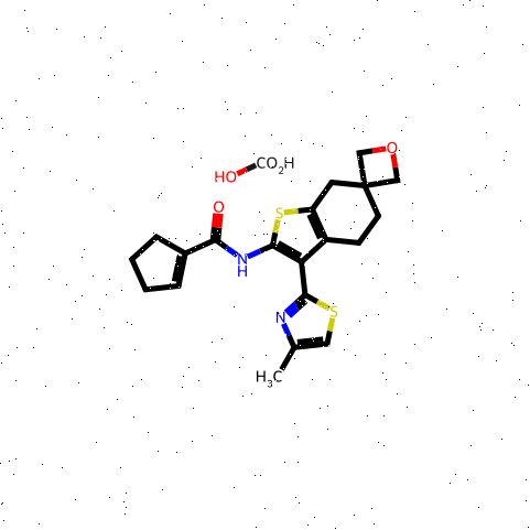 Cc1csc(-c2c(NC(=O)C3=CCCC3)sc3c2CCC2(COC2)C3)n1.O=C(O)O